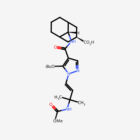 COC(=O)NC(C)(C)/C=C/n1ncc(C(=O)N[C@H]2C3CCCC2C[C@H](C(=O)O)C3)c1OCC(C)C